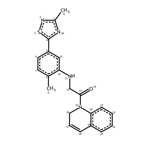 Cc1nsc(-c2ccc(C)c(NCC(=O)N3CC=Cc4ccccc43)c2)n1